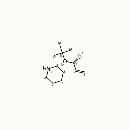 C1CCNCC1.C=CC(=O)OC(C)(C)C